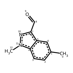 Cc1ccc2c(c1)c(C=O)nn2C